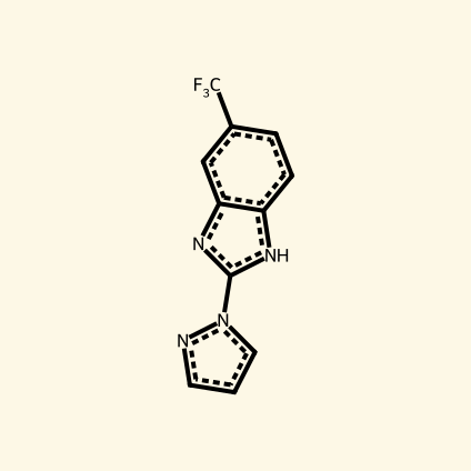 FC(F)(F)c1ccc2[nH]c(-n3cccn3)nc2c1